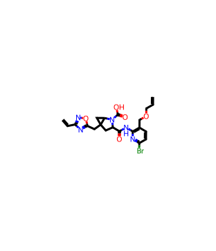 C=CCOCc1ccc(Br)nc1NC(=O)C1CC2(Cc3nc(C=C)no3)CC2N1C(=O)O